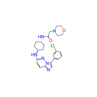 O=C(CN1CCOCC1)N[C@H]1CC[C@H](Nc2ccc3ncc(-c4cccc(Cl)c4)n3n2)CC1